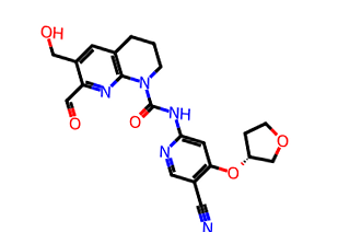 N#Cc1cnc(NC(=O)N2CCCc3cc(CO)c(C=O)nc32)cc1O[C@@H]1CCOC1